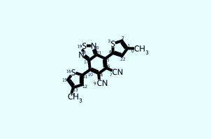 Cc1csc(-c2c(C#N)c(C#N)c(-c3cc(C)cs3)c3nsnc23)c1